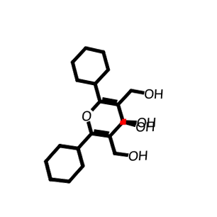 OCC(CO)=C(OC(=C(CO)CO)C1CCCCC1)C1CCCCC1